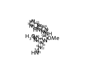 COc1nc(N2CCN(C3CNC3)CC2)c(-c2cnn(C)c2)cc1Nc1ncc(Br)c(Nc2ccc3nccnc3c2)n1